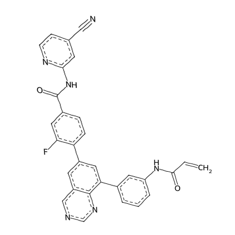 C=CC(=O)Nc1cccc(-c2cc(-c3ccc(C(=O)Nc4cc(C#N)ccn4)cc3F)cc3cncnc23)c1